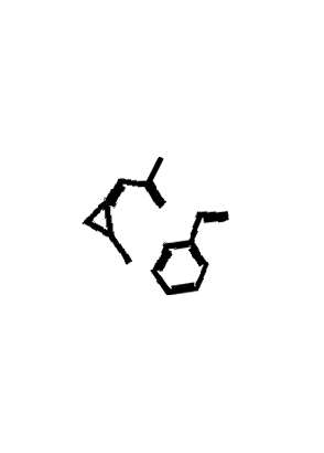 C=C(C)C=C1CC1C.C=Cc1ccccc1